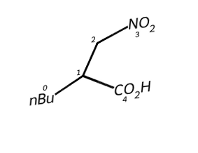 CCCCC(C[N+](=O)[O-])C(=O)O